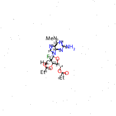 CCC(=O)OC[C@H]1OC(n2cnc3c(NC)nc(N)nc32)C(C)(F)C1OC(=O)CC